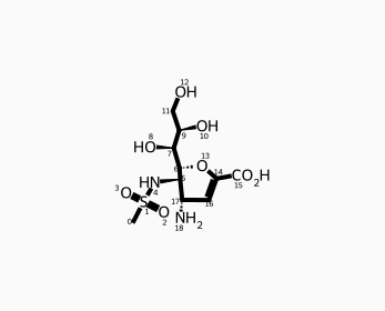 CS(=O)(=O)N[C@H]1[C@H]([C@@H](O)[C@H](O)CO)OC(C(=O)O)=C[C@@H]1N